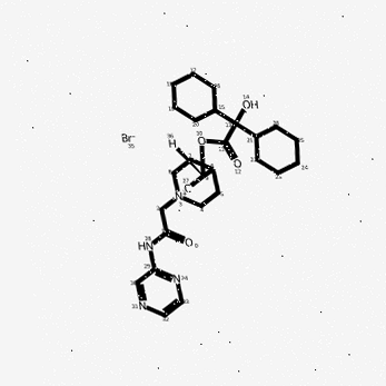 O=C(C[N+]12CCC(CC1)[C@@H](OC(=O)C(O)(C1CCCCC1)C1CCCCC1)C2)Nc1cnccn1.[Br-]